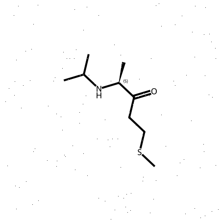 CSCCC(=O)[C@H](C)NC(C)C